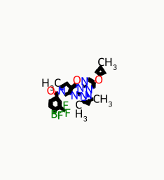 Cc1cc(C)n(-c2nc3c(c(=O)n2-c2ncc(O[C@H]4C[C@H](C)C4)cn2)C[C@@H](C)N(C(=O)c2ccc(Br)c(C(F)(F)F)c2)C3)n1